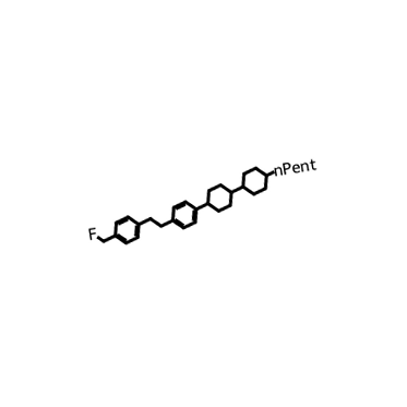 CCCCCC1CCC(C2CCC(c3ccc(CCc4ccc(CF)cc4)cc3)CC2)CC1